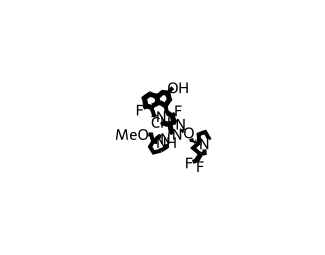 C#Cc1c(F)ccc2cc(O)cc(-c3ncc4c(N5CC6CCC(COC)(C5)N6)nc(OC[C@@]56CCCN5CC(=C(F)F)C6)nc4c3F)c12